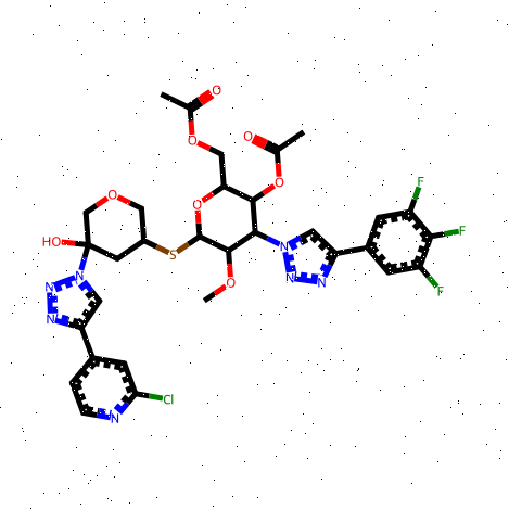 COC1C(SC2COCC(O)(n3cc(-c4ccnc(Cl)c4)nn3)C2)OC(COC(C)=O)C(OC(C)=O)C1n1cc(-c2cc(F)c(F)c(F)c2)nn1